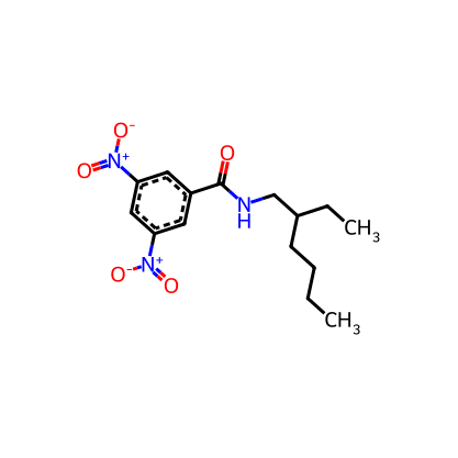 CCCCC(CC)CNC(=O)c1cc([N+](=O)[O-])cc([N+](=O)[O-])c1